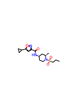 CCCS(=O)(=O)N1CC[C@@H](NC(=O)c2cc(C3CC3)on2)C[C@H]1C